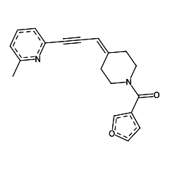 Cc1cccc(C#CC=C2CCN(C(=O)c3ccoc3)CC2)n1